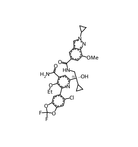 CCOc1c(C(N)=O)cc([C@@](O)(CNC(=O)c2cc(OC)c3nn(C4CC4)cc3c2)C2CC2)nc1-c1cc2c(cc1Cl)OC(F)(F)O2